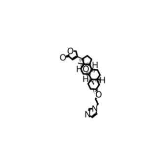 C[C@]12CC[C@H](OCCn3ccnc3)C[C@H]1CC[C@@H]1[C@@H]2CC[C@]2(C)[C@@H](C3=CC(=O)OC3)CC[C@]12O